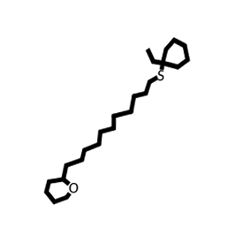 CCC1(SCCCCCCCCCCCC2CCCCO2)CCCCC1